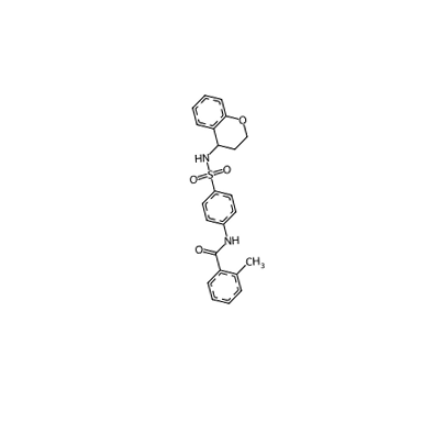 Cc1ccccc1C(=O)Nc1ccc(S(=O)(=O)NC2CCOc3ccccc32)cc1